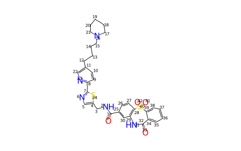 O=C(NCc1cnc(-c2ccc(CCCCN3CCCCC3)cn2)s1)c1ccc2c(c1)NC(=O)c1ccccc1S2(=O)=O